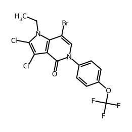 CCn1c(Cl)c(Cl)c2c(=O)n(-c3ccc(OC(F)(F)F)cc3)cc(Br)c21